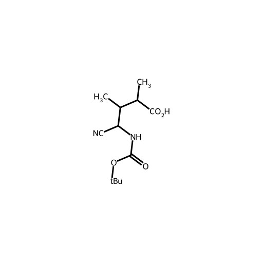 CC(C(=O)O)C(C)C(C#N)NC(=O)OC(C)(C)C